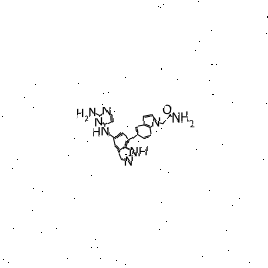 NC(=O)Cn1ccc2cc(-c3cc(Nc4ccnc(N)n4)cc4cn[nH]c34)ccc21